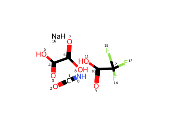 N=C=O.O=C(O)C(=O)O.O=C(O)C(F)(F)F.[NaH]